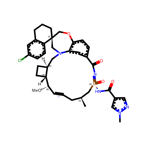 CO[C@H]1/C=C/C[C@H](C)C[S@@](=O)(NC(=O)c2cnn(C)c2)=NC(=O)c2ccc3c(c2)N(C[C@@H]2CC[C@H]21)C[C@@]1(CCCc2cc(Cl)ccc21)CO3